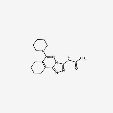 CC(=O)Nc1nnc2c3c(c(N4CCCCC4)nn12)CCCC3